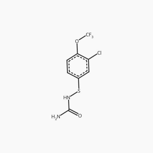 NC(=O)NSc1ccc(OC(F)(F)F)c(Cl)c1